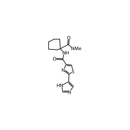 CNC(=O)C1(NC(=O)c2csc(-c3cnc[nH]3)n2)CCCCC1